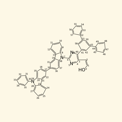 O/C=C\c1cnc(-n2c3ccccc3c3cc(-c4ccc5c(c4)c4ccccc4n5-c4ccccc4)ccc32)nc1-c1cc(-c2ccccc2)cc(-c2ccccc2)c1